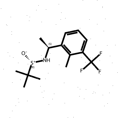 Cc1c([C@H](C)N[S@@+]([O-])C(C)(C)C)cccc1C(F)(F)F